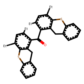 CCc1cc(CC)c(C(=O)c2c(CC)cc(CC)c3c2Cc2ccccc2S3)c2c1Sc1ccccc1C2